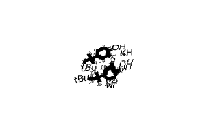 CC(C)(C)CC(C)(C)c1ccc(O)c(Sc2cc(C(C)(C)CC(C)(C)C)ccc2O)c1.[KH].[KH].[Ni]